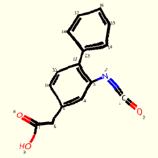 O=C=Nc1cc(CC(=O)O)ccc1-c1ccccc1